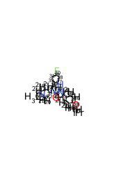 [2H]c1c([2H])c(C([2H])([2H])NC(=O)N(C2CC([2H])([2H])N(C)C([2H])([2H])C2)C([2H])([2H])c2ccc(F)cc2)c([2H])c([2H])c1OC([2H])([2H])C(C)C